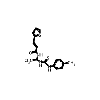 Cc1ccc(NC(=S)NC(NC(=O)/C=C/c2cccs2)C(Cl)(Cl)Cl)cc1